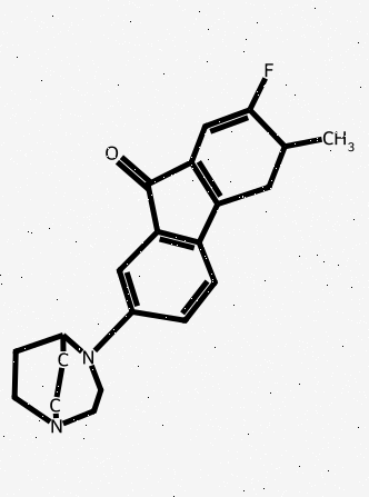 CC1CC2=C(C=C1F)C(=O)c1cc(N3CCN4CCC3CC4)ccc12